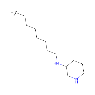 CCCCCCCCNC1CCCNC1